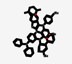 CC(C)(C)c1ccc(N2c3cc(C(C)(C)C)cc4c3B(c3ccc(N(c5ccccc5)c5ccccc5)cc3N4c3ccc(C(C)(C)C)cc3-c3ccccc3)c3sc4cc5c(cc4c32)C2(C)CCC5(C)CC2)cc1